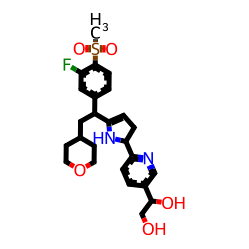 CS(=O)(=O)c1ccc(C(CC2CCOCC2)C2=CCC(c3ccc(C(O)CO)cn3)N2)cc1F